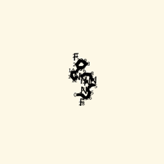 Cc1nc(-c2cnc3ccc(N4CCCC4c4cccc(F)c4)nn23)ccc1F